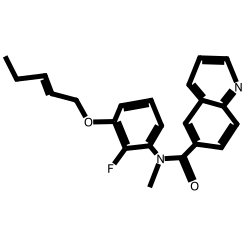 CCC=CCOc1cccc(N(C)C(=O)c2ccc3ncccc3c2)c1F